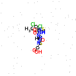 CCOC(=O)C1=C(CN2CCN3C(=O)N(c4nc(-c5ccc(C(=O)O)cc5)cs4)C[C@@H]3C2)NC(c2nccs2)=N[C@H]1c1ccc(Cl)cc1Cl